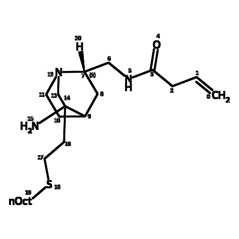 C=CCC(=O)NC[C@@H]1CC2CCN1CC2(N)CCSCCCCCCCC